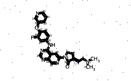 CN(C)C/C=C1\CCN(c2cc3c(Nc4ccc(Oc5cccnc5)c(F)c4)ncnc3cn2)C1=O